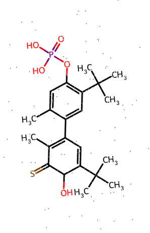 CC1=C(c2cc(C(C)(C)C)c(OP(=O)(O)O)cc2C)C=C(C(C)(C)C)C(O)C1=S